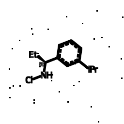 CC[C@H](NCl)c1cccc(C(C)C)c1